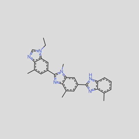 CCn1cnc2c(C)cc(-c3nc4c(C)cc(-c5nc6c(C)cccc6[nH]5)cc4n3C)cc21